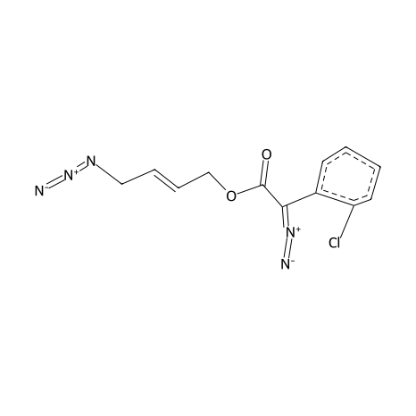 [N-]=[N+]=NC/C=C/COC(=O)C(=[N+]=[N-])c1ccccc1Cl